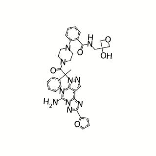 CC(C(=O)N1CCN(c2ccccc2C(=O)NCC2(O)COC2)CC1)(c1ccccc1)n1ncc2c1nc(N)n1nc(-c3ccco3)nc21